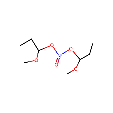 CCC(OC)O[N+](=O)OC(CC)OC